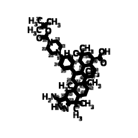 CC1(C)CC2C3=C(c4ccc(N5CCN(C(=O)OC(C)(C)C)CC5)cc4)CC4C5(C)Cc6c(n[nH]c6N)C(C)(C)C5CCC4(C)C3(C)CCC2[C@H](C(=O)O)C1